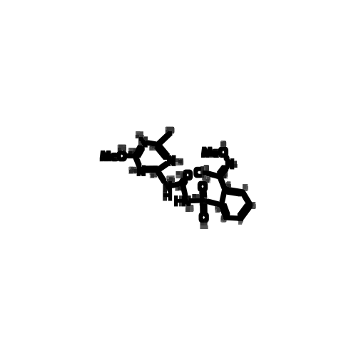 CO/N=C(\Cl)c1ccccc1S(=O)(=O)NC(=O)Nc1nc(C)nc(OC)n1